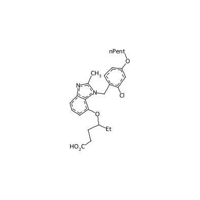 CCCCCOc1ccc(Cn2c(C)nc3cccc(OC(CC)CCC(=O)O)c32)c(Cl)c1